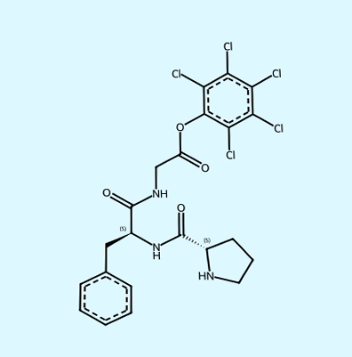 O=C(CNC(=O)[C@H](Cc1ccccc1)NC(=O)[C@@H]1CCCN1)Oc1c(Cl)c(Cl)c(Cl)c(Cl)c1Cl